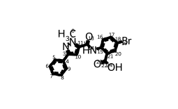 Cn1nc(-c2ccccc2)cc1C(=O)Nc1ccc(Br)cc1C(=O)O